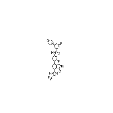 O=C(Nc1ccc(-c2ccc(-c3ncc(C(F)(F)F)[nH]3)c3c2CNC3=O)c(F)c1)c1cc(F)cc(N2CCOCC2)c1